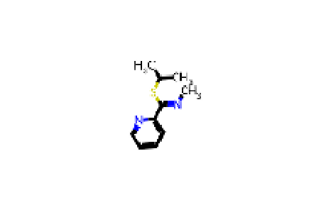 C/N=C(\SC(C)C)c1ccccn1